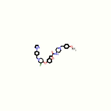 O=C(NC1CCN(Cc2ccc(OC(F)(F)F)cc2)CC1)c1cc2cc(OC3CCN(Cc4ccc(-n5cccn5)cc4)CC3F)ccc2o1